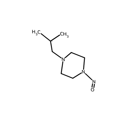 C[C](C)CN1CCN(N=O)CC1